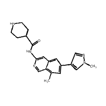 Cc1cc(-c2cnn(C)c2)cc2cc(NC(=O)C3CCNCC3)ncc12